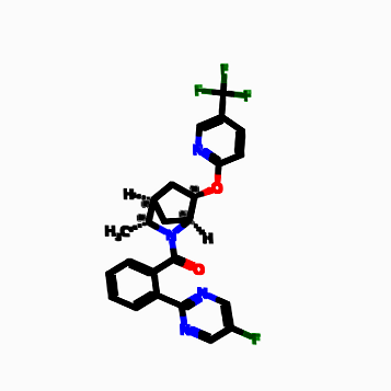 C[C@@H]1[C@H]2C[C@@H](Oc3ccc(C(F)(F)F)cn3)[C@H](C2)N1C(=O)c1ccccc1-c1ncc(F)cn1